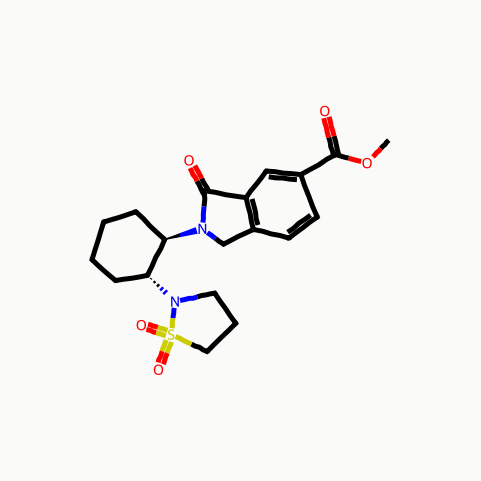 COC(=O)c1ccc2c(c1)C(=O)N([C@@H]1CCCC[C@H]1N1CCCS1(=O)=O)C2